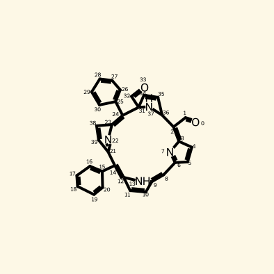 O=CC1=C2C=CC(=N2)C=c2ccc([nH]2)=C(c2ccccc2)C2=NC(=C(c3ccccc3)C3(C=O)C=CC1N3)C=C2